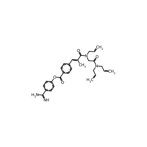 C=CCN(CC=C)C(=O)CN(CC=C)C(=O)/C(C)=C/c1ccc(C(=O)Oc2ccc(C(=N)N)cc2)cc1